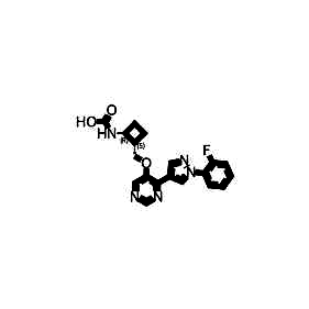 O=C(O)N[C@@H]1CC[C@@H]1COc1cncnc1-c1cnn(-c2ccccc2F)c1